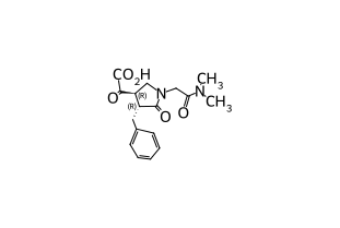 CN(C)C(=O)CN1C[C@H](C(=O)C(=O)O)[C@@H](Cc2ccccc2)C1=O